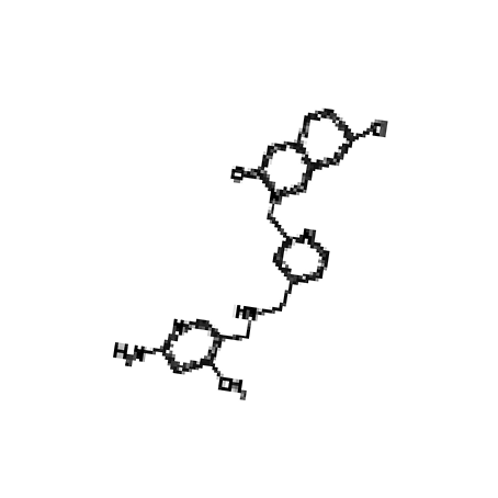 Cc1cc(N)ncc1CNCc1ccnc(Cn2cc3cc(Cl)ccc3cc2=O)c1